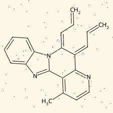 C=C/C=c1\c(=C/C=C)n2c3ccccc3nc2c2c(C)ccnc12